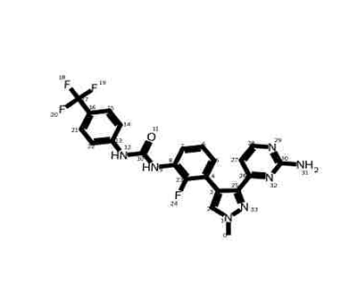 Cn1cc(-c2cccc(NC(=O)Nc3ccc(C(F)(F)F)cc3)c2F)c(-c2ccnc(N)n2)n1